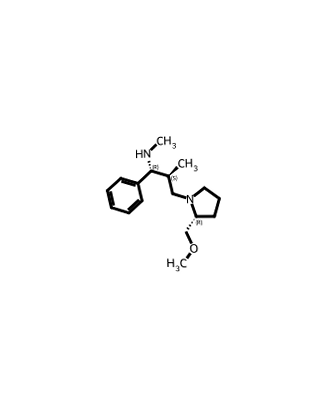 CN[C@@H](c1ccccc1)[C@@H](C)CN1CCC[C@@H]1COC